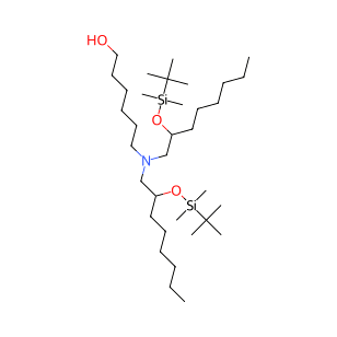 CCCCCCC(CN(CCCCCCO)CC(CCCCCC)O[Si](C)(C)C(C)(C)C)O[Si](C)(C)C(C)(C)C